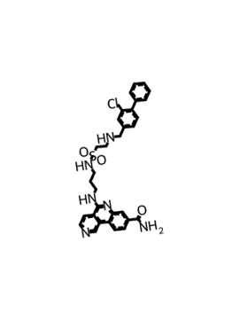 NC(=O)c1ccc2c(c1)nc(NCCCNS(=O)(=O)CCNCc1ccc(-c3ccccc3)c(Cl)c1)c1ccncc12